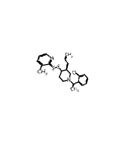 C=C/C=C1/CN(C(C)c2ccccc2Cl)CCC1SSc1ncccc1C